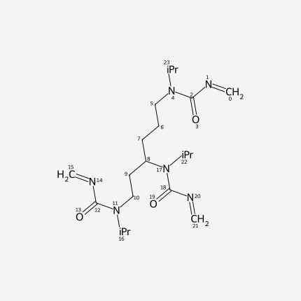 C=NC(=O)N(CCCC(CCN(C(=O)N=C)C(C)C)N(C(=O)N=C)C(C)C)C(C)C